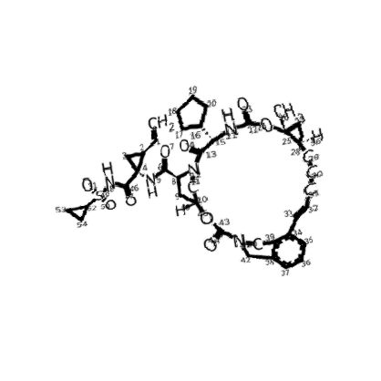 C=C[C@@H]1C[C@]1(NC(=O)[C@@H]1C[C@@H]2CN1C(=O)[C@H](C1CCCC1)NC(=O)O[C@]1(C)C[C@H]1CCC/C=C/c1cccc3c1CN(C3)C(=O)O2)C(=O)NS(=O)(=O)C1CC1